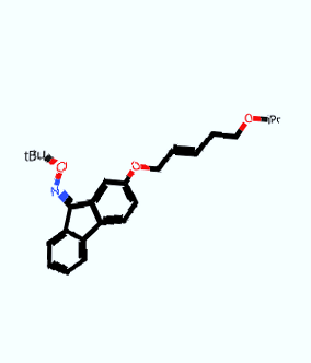 CC(C)OCC/C=C/COc1ccc2c(c1)/C(=N\OC(C)(C)C)c1ccccc1-2